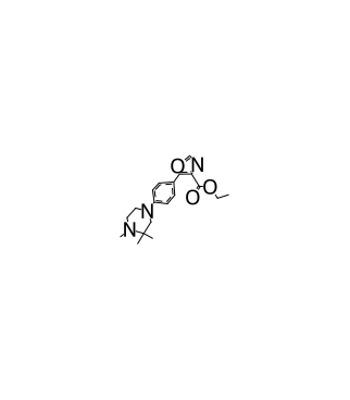 CCOC(=O)c1ncoc1-c1ccc(N2CCN(C)C(C)(C)C2)cc1